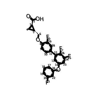 O=C(O)[C@@H]1C[C@H]1COc1ccc(-c2cc(Oc3cccc(F)c3)cc(F)c2F)cc1F